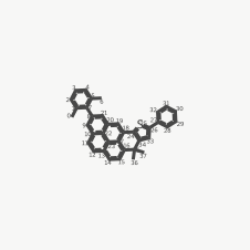 Cc1cccc(C)c1-c1cc2ccc3ccc4c5c(cc(c1)c2c35)-c1sc(-c2ccccc2)cc1C4(C)C